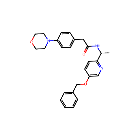 C[C@@H](NC(=O)Cc1ccc(N2CCOCC2)cc1)c1ccc(OCc2ccccc2)cn1